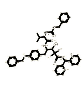 CC(C)[C@H](NC(=O)OCc1ccccc1)C(=O)NC(Cc1ccc(OCc2ccccc2)cc1)C(O)C(F)(F)C(=O)NC(c1ccccn1)c1ccccn1